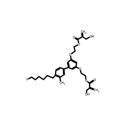 C=C(CO)C(=O)OCCOc1cc(OCCOC(=O)C(=C)CO)cc(-c2ccc(CCCCCCF)c(C)c2)c1